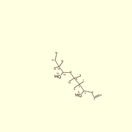 C=CCC(O)C(C)(C)C(C)(C)CC(O)C(C)(C)CC